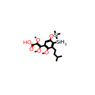 COC(C(=O)O)=C(OC)c1cc(O[Si](C)(C)C)c([SiH3])c(CCC(C)C)c1OC